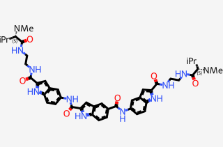 CN[C@H](C(=O)NCCNC(=O)c1cc2cc(NC(=O)c3ccc4[nH]c(C(=O)Nc5ccc6[nH]c(C(=O)NCCNC(=O)[C@@H](NC)C(C)C)cc6c5)cc4c3)ccc2[nH]1)C(C)C